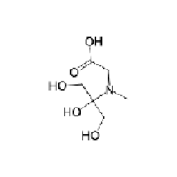 CN(CC(=O)O)C(O)(CO)CO